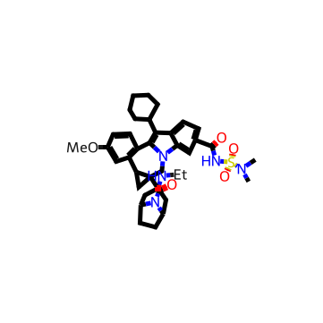 CCNC1CC2CCC(C1)N2C(=O)C12CC1c1cc(OC)ccc1-c1c(C3CCCCC3)c3ccc(C(=O)NS(=O)(=O)N(C)C)cc3n1C2